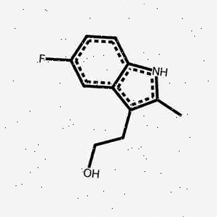 Cc1[nH]c2ccc(F)cc2c1CCO